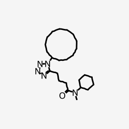 CN(C(=O)CCCc1nnnn1C1CCCCCCCCCCCC1)C1CCCCC1